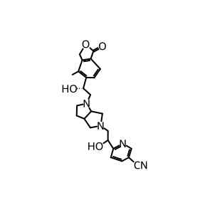 Cc1c([C@@H](O)CN2CCC3CN(CC(O)c4ccc(C#N)cn4)CC32)ccc2c1COC2=O